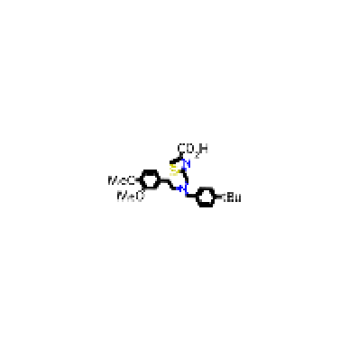 COc1ccc(CCN(Cc2ccc(C(C)(C)C)cc2)Cc2nc(C(=O)O)cs2)cc1OC